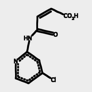 O=C(O)/C=C\C(=O)Nc1cc(Cl)ccn1